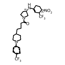 O=C(CCCC1CCN(c2ccc(C(F)(F)F)cc2)CC1)N1CC[C@@H](NC2=CC(C(F)(F)F)[C@H]([N+](=O)[O-])CC2)C1